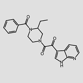 CCC1CN(C(=O)C(=O)c2c[nH]c3ncccc23)CCN1C(=O)c1ccccc1